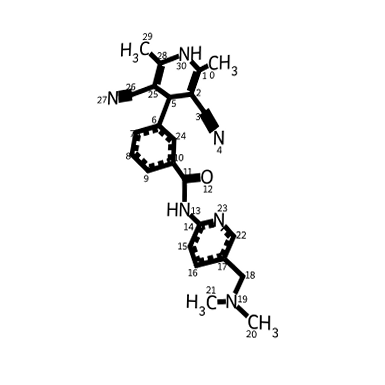 CC1=C(C#N)C(c2cccc(C(=O)Nc3ccc(CN(C)C)cn3)c2)C(C#N)=C(C)N1